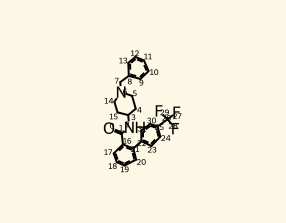 O=C(NC1CCN(Cc2ccccc2)CC1)c1ccccc1-c1ccc(C(F)(F)F)cc1